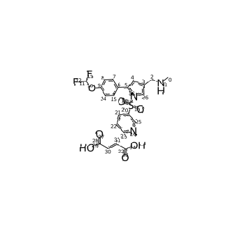 CNCc1cc(-c2ccc(OC(F)F)cc2)n(S(=O)(=O)c2cccnc2)c1.O=C(O)C=CC(=O)O